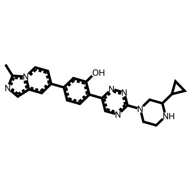 Cc1ncc2cc(-c3ccc(-c4cnc(N5CCNC(C6CC6)C5)nn4)c(O)c3)ccn12